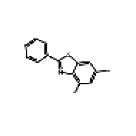 Fc1cc(F)c2nc(-c3ccccc3)sc2c1